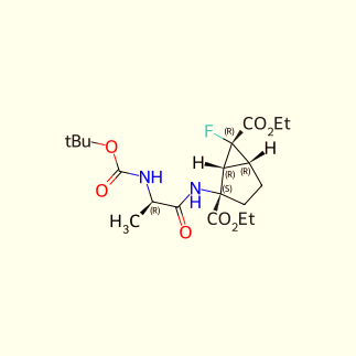 CCOC(=O)[C@@]1(F)[C@@H]2CC[C@@](NC(=O)[C@@H](C)NC(=O)OC(C)(C)C)(C(=O)OCC)[C@@H]21